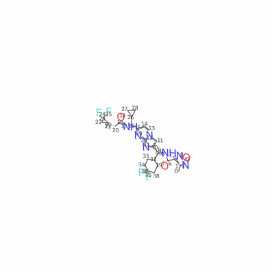 Cc1nonc1C(=O)N[C@H](c1cn2ccc(C(NC(=O)C[C@@H]3CC3(F)F)C3CC3)nc2n1)C1CCC(F)(F)CC1